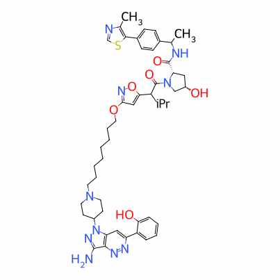 Cc1ncsc1-c1ccc(C(C)NC(=O)[C@@H]2C[C@@H](O)CN2C(=O)C(c2cc(OCCCCCCCCN3CCC(n4nc(N)c5nnc(-c6ccccc6O)cc54)CC3)no2)C(C)C)cc1